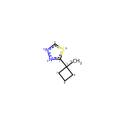 CC1(c2nn[c]s2)CCC1